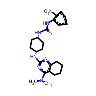 CN(C)c1nc(N[C@H]2CC[C@@H](NC(=O)Nc3ccccc3[N+](=O)[O-])CC2)nc2c1CCCC2